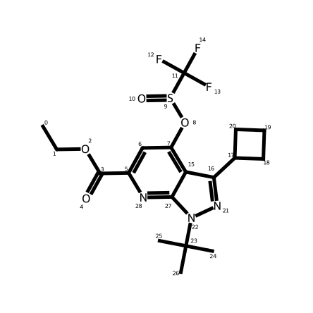 CCOC(=O)c1cc(OS(=O)C(F)(F)F)c2c(C3CCC3)nn(C(C)(C)C)c2n1